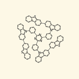 c1cc(-c2nc(-c3cccc(-n4c5ccccc5c5ccc(-c6ccc7c(c6)sc6ccccc67)cc54)c3)nc(-c3cccc(-n4c5ccccc5c5ccc(-c6ccc7c(c6)sc6ccccc67)cc54)c3)n2)cc(-n2c3ccccc3c3ccc(-c4ccc5c(c4)sc4ccccc45)cc32)c1